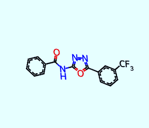 O=C(Nc1nnc(-c2cccc(C(F)(F)F)c2)o1)c1ccccc1